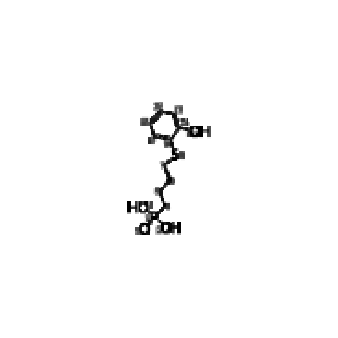 O=P(O)(O)CCCCSc1ccccc1O